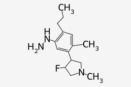 CCCc1cc(C)c(C2CN(C)CC2F)cc1NN